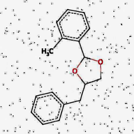 Cc1ccccc1C1OCC(Cc2ccccc2)O1